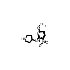 COc1ccc([N+](=O)[O-])c(NC2CCNCC2)n1